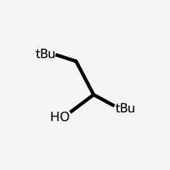 CC(C)(C)CC(O)C(C)(C)C